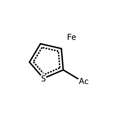 CC(=O)c1cccs1.[Fe]